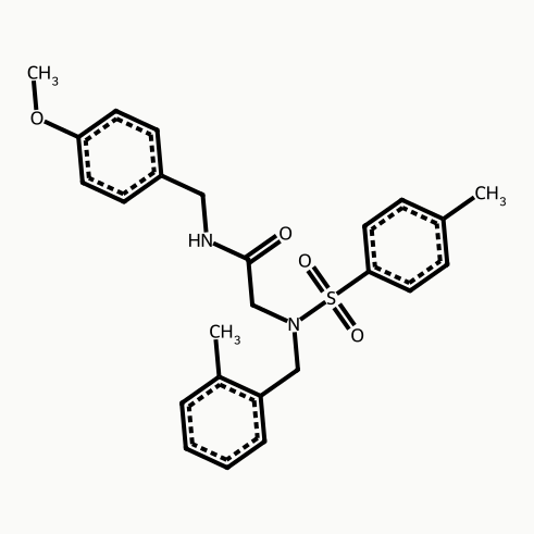 COc1ccc(CNC(=O)CN(Cc2ccccc2C)S(=O)(=O)c2ccc(C)cc2)cc1